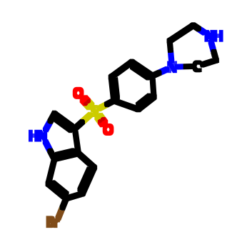 O=S(=O)(c1ccc(N2CCNCC2)cc1)c1c[nH]c2cc(Br)ccc12